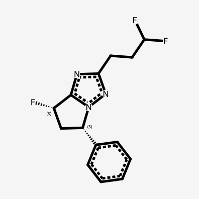 FC(F)CCc1nc2n(n1)[C@H](c1ccccc1)C[C@@H]2F